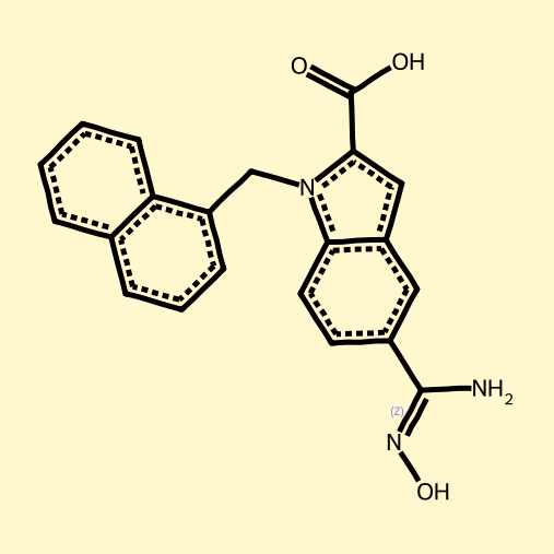 N/C(=N\O)c1ccc2c(c1)cc(C(=O)O)n2Cc1cccc2ccccc12